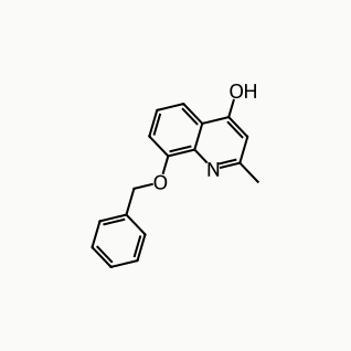 Cc1cc(O)c2cccc(OCc3ccccc3)c2n1